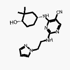 CC1(C)C[C@H](Nc2nc(NCCn3cccn3)ncc2C#N)CC[C@@H]1O